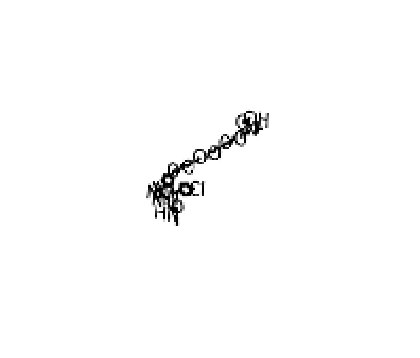 CCNC(=O)C[C@@H]1N=C(c2ccc(Cl)cc2)c2cc(OCCOCCOCCOCCOCCOCCN(C(=O)O)C(C)(C)C)ccc2-n2c(C)nnc21